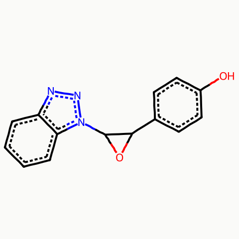 Oc1ccc(C2OC2n2nnc3ccccc32)cc1